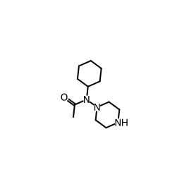 CC(=O)N(C1CCCCC1)N1CCNCC1